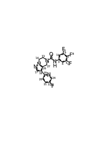 O=C(Nc1cc(F)c(F)c(F)c1)N1CCn2ncc(-c3ccc(F)cn3)c2C1